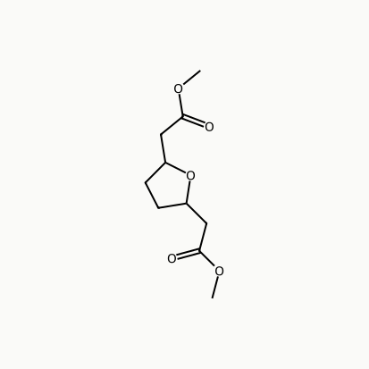 COC(=O)CC1CCC(CC(=O)OC)O1